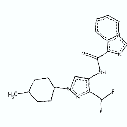 CC1CCC(n2cc(NC(=O)c3ncn4ccccc34)c(C(F)F)n2)CC1